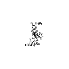 CCCCC(C)(c1cccc2c1ccc1c3ccccc3n3c4ccc(CC(C)CCC(C)C)cc4nc3c21)C(C)(C)C